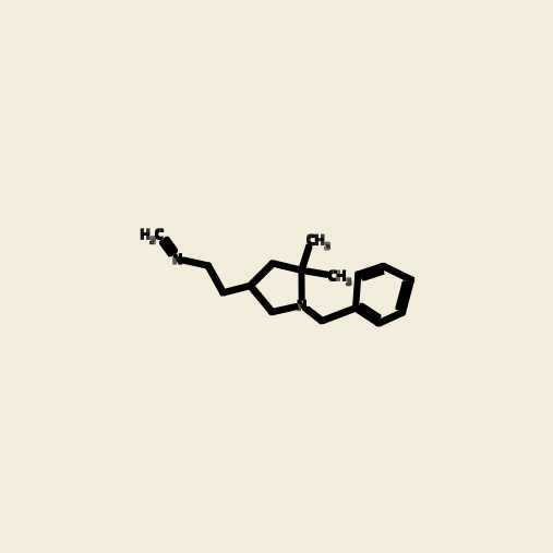 C=NCCC1CN(Cc2ccccc2)C(C)(C)C1